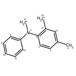 Cc1ccc(N(C)c2ccccc2)c(C)c1